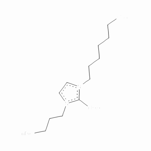 CCCCCCCCCCCCCCCC[n+]1ccn(CCCCCCCCCCCCC)c1CCCCCC